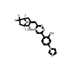 CO[C@@H]1/C(=C\c2ncc(-c3ccc(-n4ccnc4)cc3O)nn2)C[C@@]2(C)N[C@]1(C)CC2(F)F